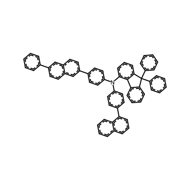 c1ccc(-c2ccc3cc(-c4ccc(N(c5ccc(-c6cccc7ccccc67)cc5)c5cccc6c5-c5ccccc5C6(c5ccccc5)c5ccccc5)cc4)ccc3c2)cc1